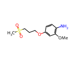 COc1cc(OCCCS(C)(=O)=O)ccc1N